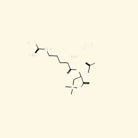 CC(=O)[C@@](CC(=O)[O-])(C[N+](C)(C)C)OC(=O)[C@@H](N)CCCNC(=N)N.Cl.Cl